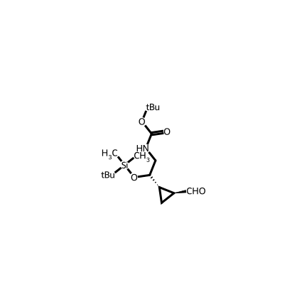 CC(C)(C)OC(=O)NCC(O[Si](C)(C)C(C)(C)C)[C@H]1C[C@@H]1C=O